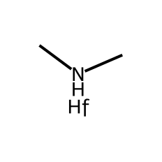 CNC.[Hf]